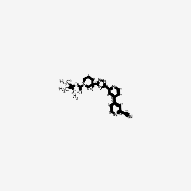 CC(C)(C)OC(=O)N1CCCC(F)(c2nnc(-c3cc(-c4ccnc(C#N)c4)ccn3)o2)C1